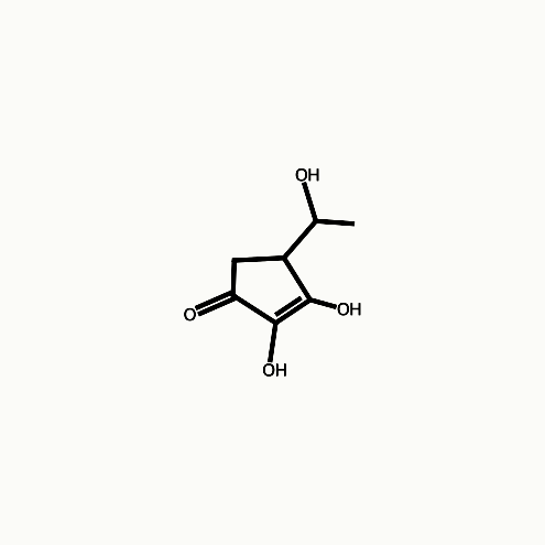 CC(O)C1CC(=O)C(O)=C1O